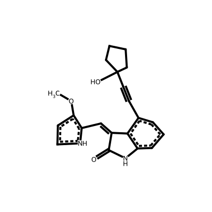 COc1cc[nH]c1C=C1C(=O)Nc2cccc(C#CC3(O)CCCC3)c21